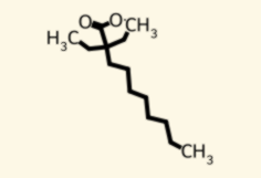 CCCCCCCCC(CC)(CC)C([O])=O